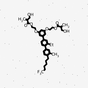 C=C(CO)C(=O)OCCOc1cc(OCCOC(=O)C(=C)CO)cc(-c2ccc(-c3ccc(CCCCCC(F)(F)F)c(C)c3)c(CC)c2)c1